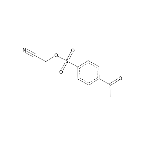 CC(=O)c1ccc(S(=O)(=O)OCC#N)cc1